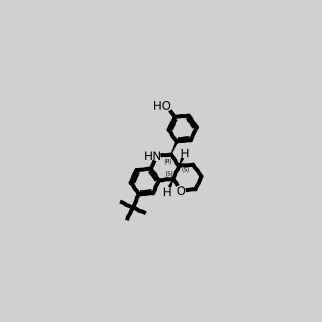 CC(C)(C)c1ccc2c(c1)[C@H]1OCCC[C@H]1[C@H](c1cccc(O)c1)N2